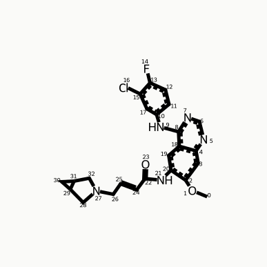 COc1cc2ncnc(Nc3ccc(F)c(Cl)c3)c2cc1NC(=O)C=CCN1CC2CC2C1